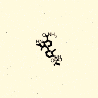 C=C(C)S(=O)(=O)Nc1cccc(-c2ccc(C(N)=O)c3[nH]c(C)c(C)c23)c1C